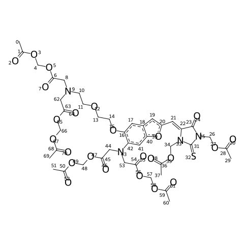 CC(=O)OCOC(=O)CN(CCOCCOc1cc2cc(C=C3C(=O)N(COC(C)=O)C(=S)N3COC(C)=O)oc2cc1N(CC(=O)OCOC(C)=O)CC(=O)OCOC(C)=O)CC(=O)OCOC(C)=O